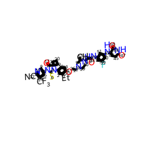 CCc1cc(N2C(=S)N(c3cnc(C#N)c(C(F)(F)F)c3)C(=O)C23CCC3)ccc1OCCN1CCN(CC(=O)Nc2cc(F)cc(NC3CCC(=O)NC3=O)c2)C(C)C1